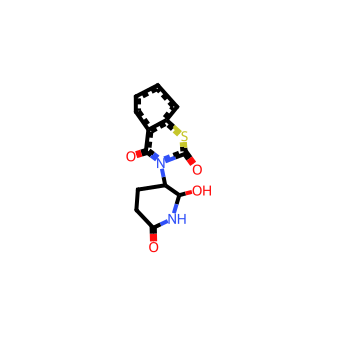 O=C1CCC(n2c(=O)sc3ccccc3c2=O)C(O)N1